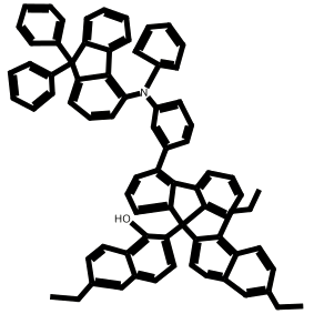 CCCc1c(C2(c3ccc4cc(CC)ccc4c3O)c3ccccc3-c3c(-c4cccc(N(c5ccccc5)c5cccc6c5-c5ccccc5C6(c5ccccc5)c5ccccc5)c4)cccc32)ccc2cc(CC)ccc12